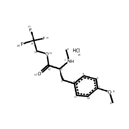 CN[C@@H](Cc1ccc(OC)cc1)C(=O)OCC(F)(F)F.Cl